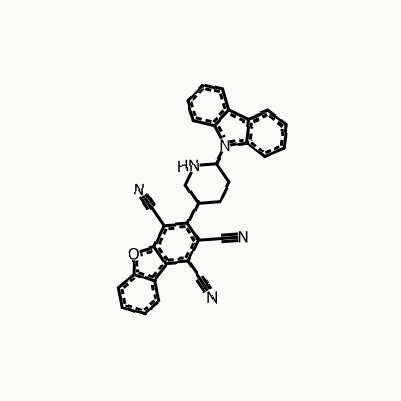 N#Cc1c(C2CCC(n3c4ccccc4c4ccccc43)NC2)c(C#N)c2oc3ccccc3c2c1C#N